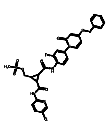 CS(=O)(=O)OCC1C(C(=O)Nc2ccc(Cl)cn2)C1C(=O)Nc1ccc(-n2ccc(OCc3ccccc3)cc2=O)cc1F